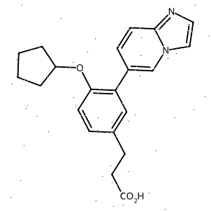 O=C(O)CCc1ccc(OC2CCCC2)c(-c2ccc3nccn3c2)c1